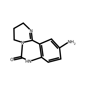 Nc1ccc2c(c1)C1=NCCCN1C(=O)N2